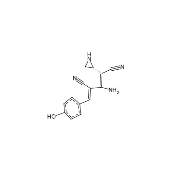 N#CC(=C\c1ccc(O)cc1)/C(N)=C(/C#N)[C@@H]1CN1